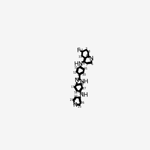 FC1CCc2nccc(Nc3ccc(-c4nc5ccc(Nc6ccncc6)cc5[nH]4)cc3)c2C1